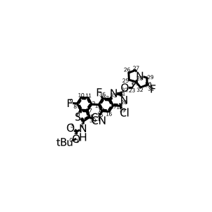 CC(C)(C)OC(=O)Nc1sc2c(F)ccc(-c3c(Cl)cc4c(Cl)nc(OC[C@@]56CCCN5C[C@H](F)C6)nc4c3F)c2c1C#N